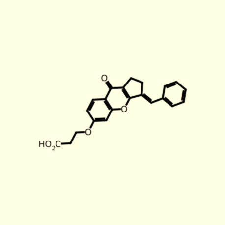 O=C(O)CCOc1ccc2c(=O)c3c(oc2c1)C(=Cc1ccccc1)CC3